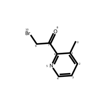 Cc1cccnc1C(=O)CBr